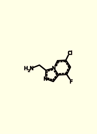 NCc1ncc2c(F)cc(Cl)cn12